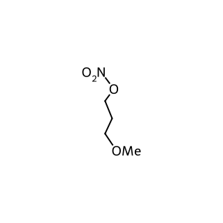 COCCCO[N+](=O)[O-]